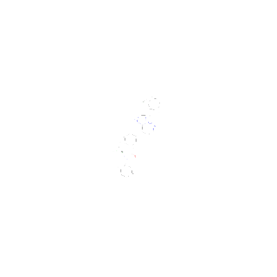 O=C(Nc1ccc(F)cc1)c1cc(-c2ccnn3c(-c4cccc(F)c4F)cnc23)ccc1C(F)(F)F